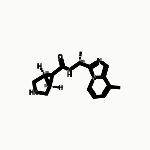 Cc1cccn2c([C@@H](C)NC(=O)C3[C@H]4CNC[C@@H]34)ncc12